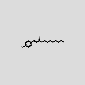 CCCCCCCCOC(=S)C=Cc1ccc(Br)cc1